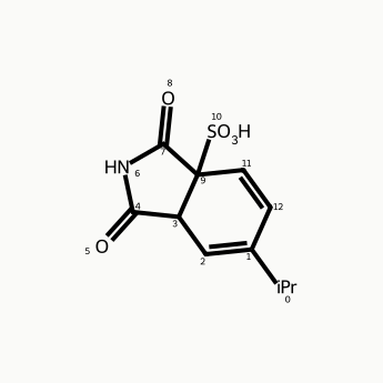 CC(C)C1=CC2C(=O)NC(=O)C2(S(=O)(=O)O)C=C1